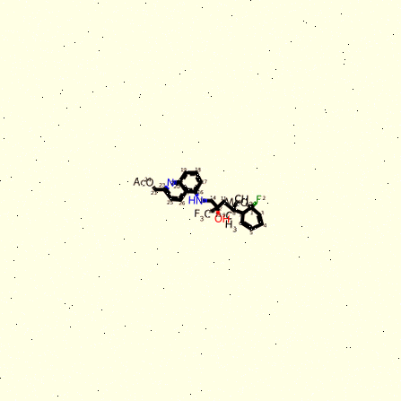 COC1(F)C=CC=CC1C(C)(C)CC(O)(CNc1cccc2nc(COC(C)=O)ccc12)C(F)(F)F